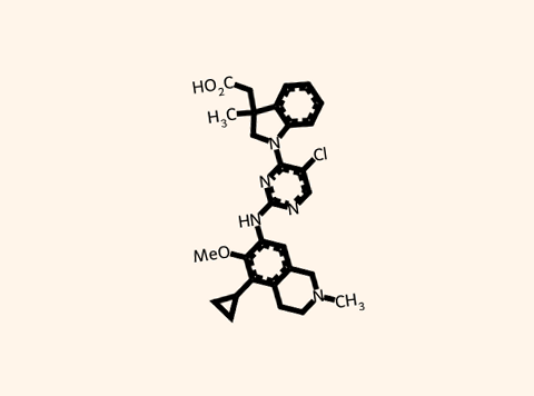 COc1c(Nc2ncc(Cl)c(N3CC(C)(CC(=O)O)c4ccccc43)n2)cc2c(c1C1CC1)CCN(C)C2